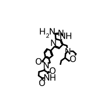 CCC1COCCN(Cc2cc(-c3ccc4c(c3)CN(C3CCC(=O)NC3=O)C4=O)nc3c(N)n[nH]c23)C1